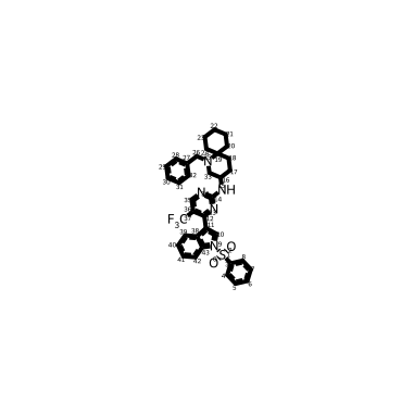 O=S(=O)(c1ccccc1)n1cc(-c2nc(NC3CCC4(CCCCC4)N(Cc4ccccc4)C3)ncc2C(F)(F)F)c2ccccc21